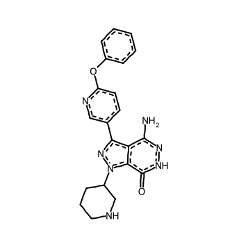 Nc1n[nH]c(=O)c2c1c(-c1ccc(Oc3ccccc3)nc1)nn2C1CCCNC1